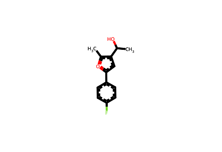 Cc1oc(-c2ccc(F)cc2)cc1C(C)O